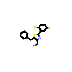 O=Cc1nc(-c2cc(F)ccc2F)sc1Cc1ccccc1